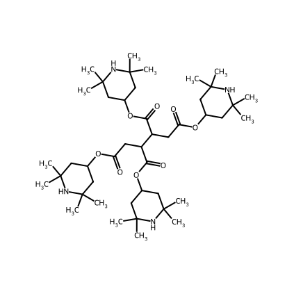 CC1(C)CC(OC(=O)CC(C(=O)OC2CC(C)(C)NC(C)(C)C2)C(CC(=O)OC2CC(C)(C)NC(C)(C)C2)C(=O)OC2CC(C)(C)NC(C)(C)C2)CC(C)(C)N1